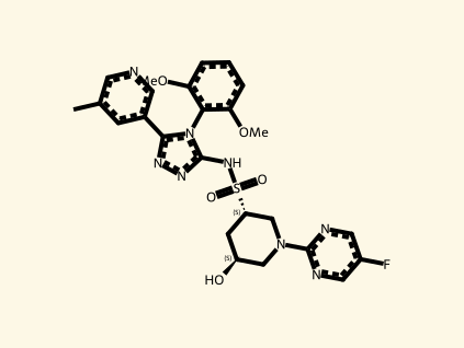 COc1cccc(OC)c1-n1c(NS(=O)(=O)[C@H]2C[C@H](O)CN(c3ncc(F)cn3)C2)nnc1-c1cncc(C)c1